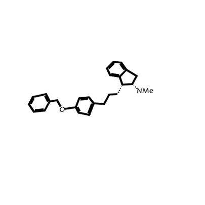 CN[C@H]1Cc2ccccc2[C@H]1CCCc1ccc(OCc2ccccc2)cc1